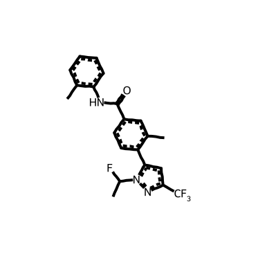 Cc1ccccc1NC(=O)c1ccc(-c2cc(C(F)(F)F)nn2C(C)F)c(C)c1